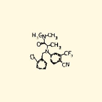 C[C@H](C(=O)N(C)C)N(Cc1ccccc1Cl)c1ccc(C#N)c(C(F)(F)F)c1